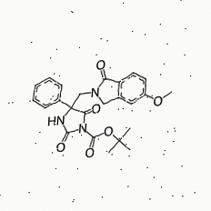 COc1ccc2c(c1)CN(CC1(c3ccccc3)NC(=O)N(C(=O)OC(C)(C)C)C1=O)C2=O